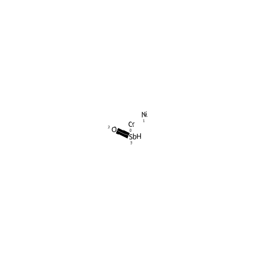 [Cr].[Ni].[O]=[SbH]